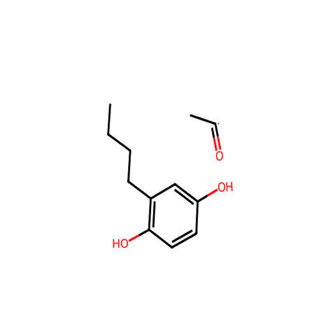 CCCCc1cc(O)ccc1O.C[C]=O